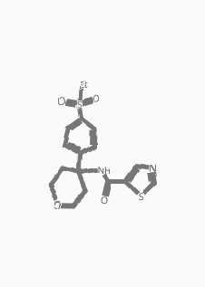 CCS(=O)(=O)c1ccc(C2(NC(=O)c3cncs3)CCOCC2)cc1